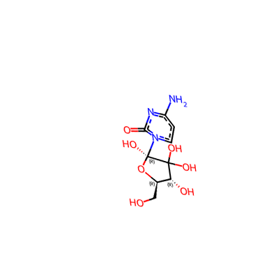 Nc1ccn([C@]2(O)O[C@H](CO)[C@@H](O)C2(O)O)c(=O)n1